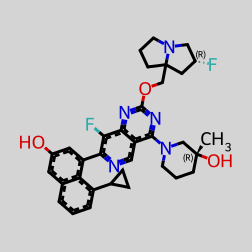 C[C@@]1(O)CCCN(c2nc(OCC34CCCN3C[C@H](F)C4)nc3c(F)c(-c4cc(O)cc5cccc(C6CC6)c45)ncc23)C1